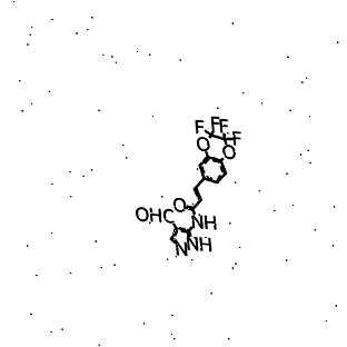 O=Cc1cn[nH]c1NC(=O)/C=C/c1ccc2c(c1)OC(F)(F)C(F)(F)O2